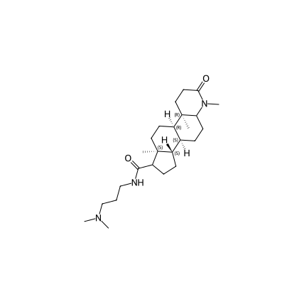 CN(C)CCCNC(=O)C1CC[C@H]2[C@@H]3CCC4N(C)C(=O)CC[C@]4(C)[C@@H]3CC[C@]12C